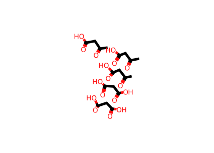 CC(=O)CC(=O)O.CC(=O)CC(=O)O.CC(=O)CC(=O)O.O=C(O)CC(=O)O.O=C(O)CC(=O)O